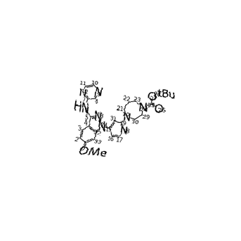 COc1ccc2c(Nc3cnccn3)nn(-c3ccnc(N4CCCN(C(=O)OC(C)(C)C)CC4)c3)c2c1